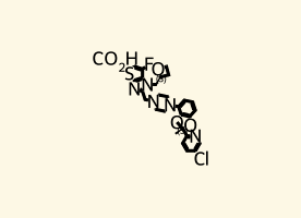 C[C@]1(c2ccc(Cl)cn2)Oc2cccc(N3CCN(Cc4nc5sc(C(=O)O)c(F)c5n4C[C@@H]4CCO4)CC3)c2O1